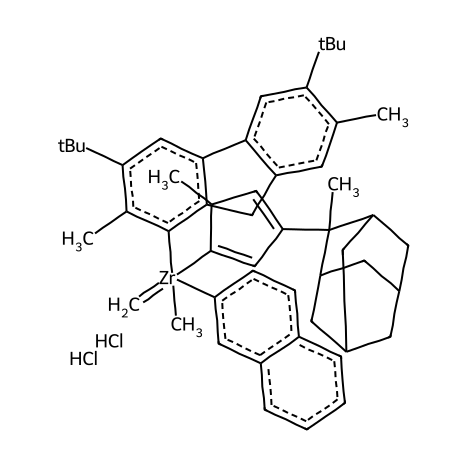 Cl.Cl.[CH2]=[Zr]([CH3])([C]1=CC(C2(C)C3CC4CC(C3)CC2C4)=CC1C)([c]1ccc2ccccc2c1)[c]1c(C)c(C(C)(C)C)cc2c1Cc1cc(C)c(C(C)(C)C)cc1-2